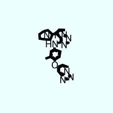 Cc1cc(Nc2ncnn3ccc(C4CC5CCC(C4)N5)c23)ccc1Oc1ccn2ncnc2c1